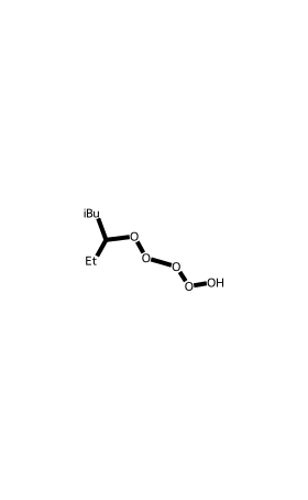 CCC(C)C(CC)OOOOO